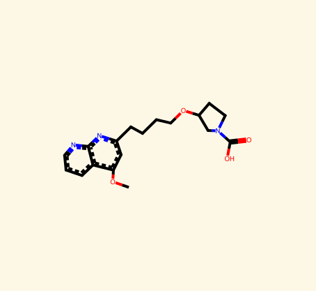 COc1cc(CCCCOC2CCN(C(=O)O)C2)nc2ncccc12